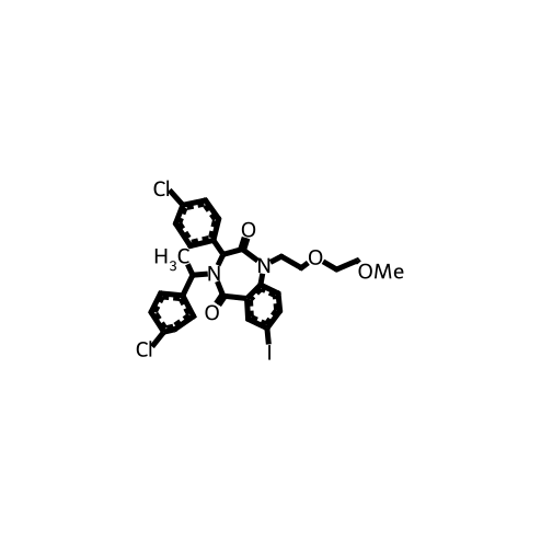 COCCOCCN1C(=O)C(c2ccc(Cl)cc2)N(C(C)c2ccc(Cl)cc2)C(=O)c2cc(I)ccc21